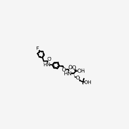 CC(C)(O)COC[C@H](NC(=O)OCc1ccc(NC(=O)Cc2ccc(F)cc2)cc1)C(=O)O